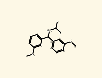 COc1cccc(C(NC(C)C)c2cccc(OC)c2)c1